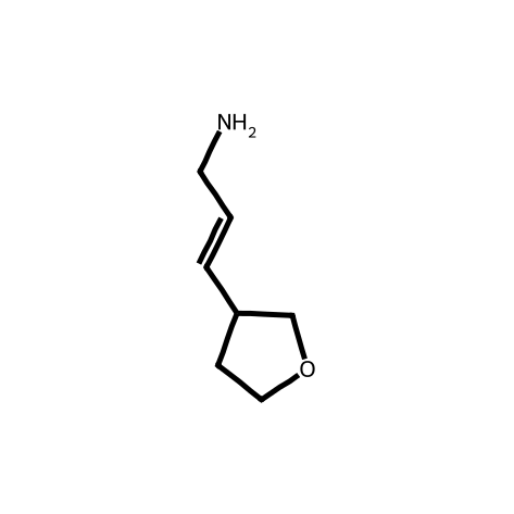 NCC=CC1CCOC1